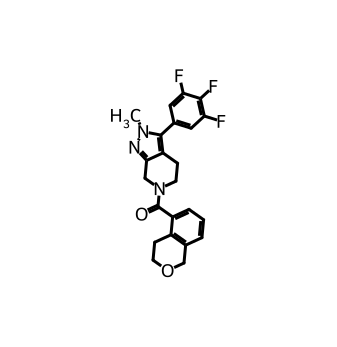 Cn1nc2c(c1-c1cc(F)c(F)c(F)c1)CCN(C(=O)c1cccc3c1CCOC3)C2